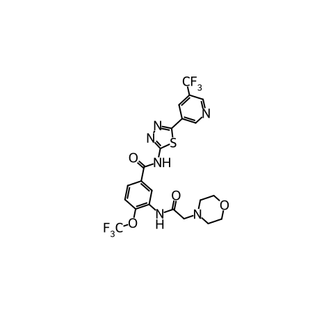 O=C(CN1CCOCC1)Nc1cc(C(=O)Nc2nnc(-c3cncc(C(F)(F)F)c3)s2)ccc1OC(F)(F)F